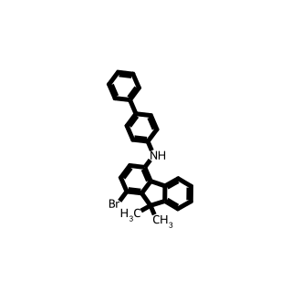 CC1(C)c2ccccc2-c2c(Nc3ccc(-c4ccccc4)cc3)ccc(Br)c21